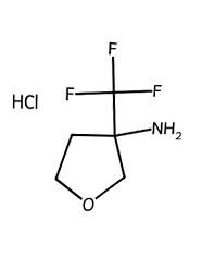 Cl.NC1(C(F)(F)F)CCOC1